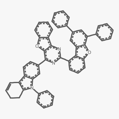 C1=Cc2c(n(-c3ccccc3)c3cc(-c4nc(-c5cccc6oc7c(-c8ccccc8)cc(-c8ccccc8)cc7c56)nc5c4oc4ccccc45)ccc23)CC1